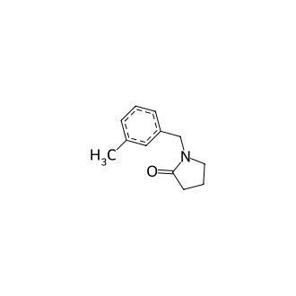 Cc1cccc(CN2CCCC2=O)c1